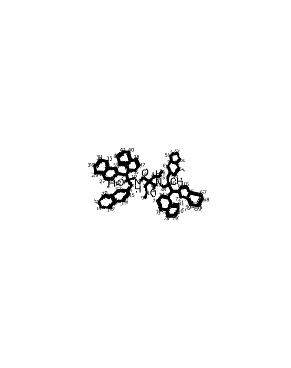 CCCC(CCC)(C(=O)NCC(O)(Cc1ccc2ccccc2c1)C(c1ccc2ccccc2c1)c1cccc2ccccc12)C(=O)NCC(O)(Cc1ccc2ccccc2c1)C(c1ccc2ccccc2c1)c1cccc2ccccc12